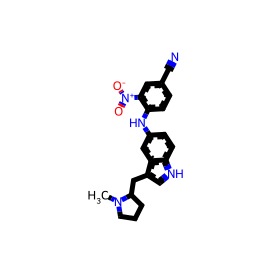 CN1CCCC1Cc1c[nH]c2ccc(Nc3ccc(C#N)cc3[N+](=O)[O-])cc12